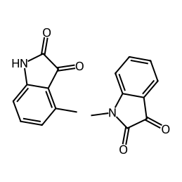 CN1C(=O)C(=O)c2ccccc21.Cc1cccc2c1C(=O)C(=O)N2